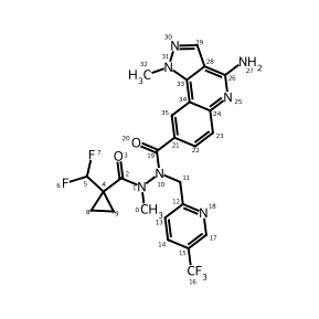 CN(C(=O)C1(C(F)F)CC1)N(Cc1ccc(C(F)(F)F)cn1)C(=O)c1ccc2nc(N)c3cnn(C)c3c2c1